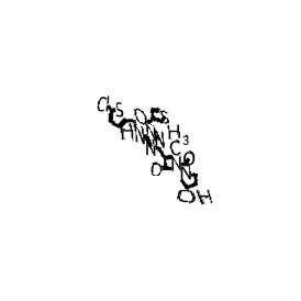 CC1C(c2nc(NCc3ccc(Cl)s3)n(C(=O)c3ccsc3)n2)C(=O)CN1C(=O)N1CCC(O)C1